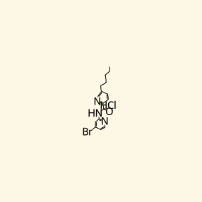 CCCCCc1ccc(C(=O)Nc2cc(Br)ccn2)nc1.Cl